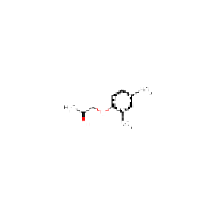 CC(O)COc1ccc([N+](=O)[O-])cc1[N+](=O)[O-]